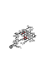 CC[C@H](C)[C@H](NC(=O)[C@H](CCCCN)NC(=O)[C@H](CO)NC(=O)[C@H](CC(C)C)NC(=O)[C@@H](NC(=O)CNC(=O)[C@H](CCC(N)=O)NC(=O)[C@H](C)NC(=O)[C@H](CC(=O)O)NC(=O)[C@@H](NC(=O)CNC(=O)[C@H](CCCCN)NC(=O)[C@H](Cc1ccccc1)NC(=O)CN)C(C)C)[C@@H](C)O)C(=O)N[C@@H](Cc1ccccc1)C(N)=O